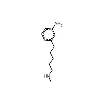 CNCCCCCc1cccc(N)c1